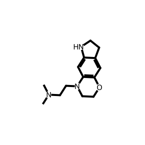 CN(C)CCN1CCOc2cc3c(cc21)NCC3